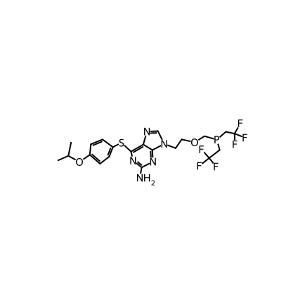 CC(C)Oc1ccc(Sc2nc(N)nc3c2ncn3CCOCP(CC(F)(F)F)CC(F)(F)F)cc1